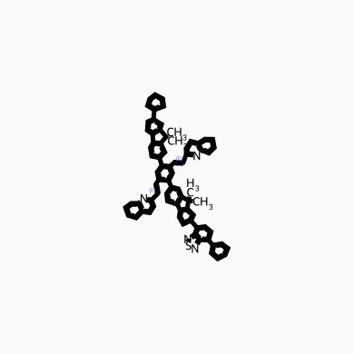 CC1(C)c2cc(-c3ccccc3)ccc2-c2ccc(-c3cc(/C=C/c4ccc5ccccc5n4)c(-c4ccc5c(c4)C(C)(C)c4cc(-c6ccc(-c7ccccc7)c7nsnc67)ccc4-5)cc3/C=C/c3ccc4ccccc4n3)cc21